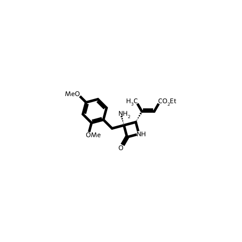 CCOC(=O)/C=C(\C)[C@@H]1NC(=O)[C@@]1(N)Cc1ccc(OC)cc1OC